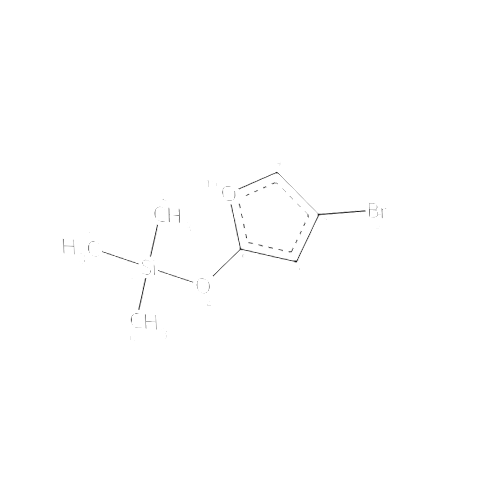 C[Si](C)(C)Oc1cc(Br)co1